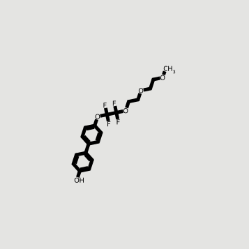 COCCOCCOC(F)(F)C(F)(F)Oc1ccc(-c2ccc(O)cc2)cc1